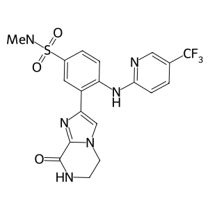 CNS(=O)(=O)c1ccc(Nc2ccc(C(F)(F)F)cn2)c(-c2cn3c(n2)C(=O)NCC3)c1